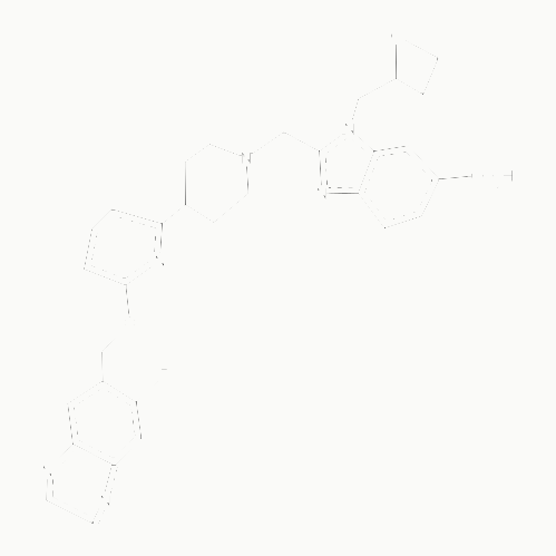 O=C(O)c1ccc2nc(CN3CCC(c4cccc(OCc5cc6nccnc6cc5F)n4)CC3)n(CC3CCO3)c2c1